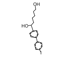 OCCCCCC(O)c1ccc(-c2ccc(I)cc2)cc1